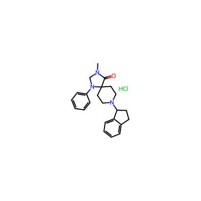 CN1CN(c2ccccc2)C2(CCN(C3CCc4ccccc43)CC2)C1=O.Cl